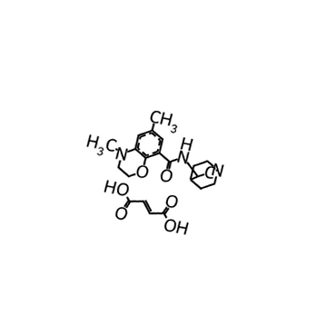 Cc1cc(C(=O)NC2CN3CCC2CC3)c2c(c1)N(C)CCO2.O=C(O)/C=C/C(=O)O